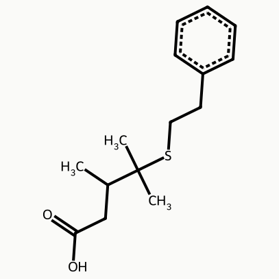 CC(CC(=O)O)C(C)(C)SCCc1ccccc1